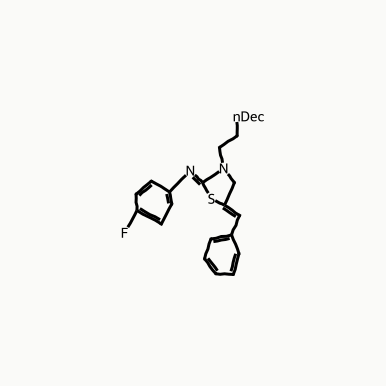 CCCCCCCCCCCCN1C/C(=C/c2ccccc2)S/C1=N\c1ccc(F)cc1